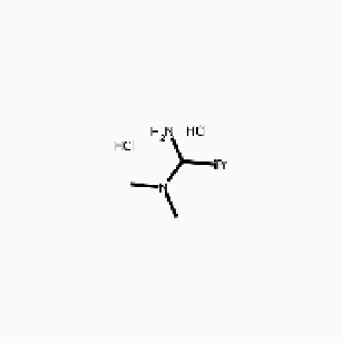 CC(C)C(N)N(C)C.Cl.Cl